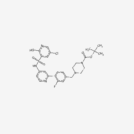 CC(C)(C)OC(=O)N1CCN(Cc2ccc(-c3cc(NS(=O)(=O)c4cc(Cl)cnc4O)ccn3)c(F)c2)CC1